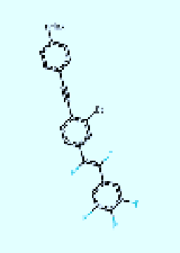 CCCCCCc1ccc(C#Cc2ccc(/C(F)=C(\F)c3cc(F)c(F)c(F)c3)cc2CC)cc1